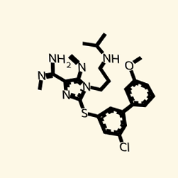 C=Nc1c(/C(N)=N\C)nc(Sc2cc(Cl)cc(-c3cccc(OC)c3)c2)n1CCCNC(C)C